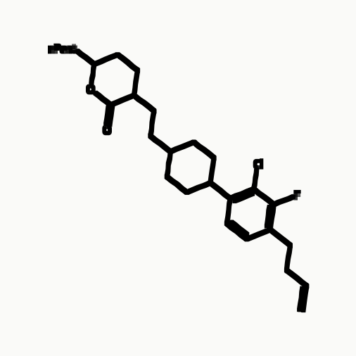 C=CCCc1ccc(C2CCC(CCC3CCC(CCCCC)OC3=O)CC2)c(Cl)c1F